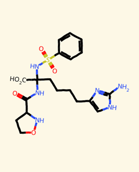 Nc1nc(CCCCC(NC(=O)C2CCON2)(NS(=O)(=O)c2ccccc2)C(=O)O)c[nH]1